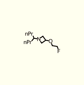 CCCC(CCC)N1CC(OCCF)C1